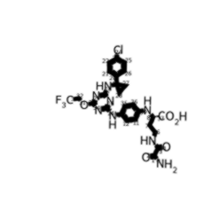 NC(=O)C(=O)NCC[C@H](Nc1ccc(Nc2nc(NC3(c4ccc(Cl)cc4)CC3)nc(OCC(F)(F)F)n2)cc1)C(=O)O